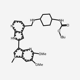 COc1cc2c(nc1OC)c(-c1cc3c(CNC4CCC(NC(=O)OC(C)(C)C)CC4)ccnc3[nH]1)cn2C